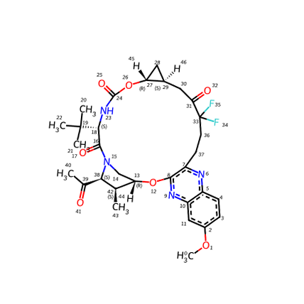 COc1ccc2nc3c(nc2c1)O[C@H]1CN(C(=O)[C@H](C(C)(C)C)NC(=O)O[C@@H]2C[C@H]2CC(=O)C(F)(F)CC3)[C@H](C(C)=O)[C@@H]1C